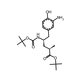 C[C@H](C[C@H](Cc1ccc(O)c(N)c1)NC(=O)OC(C)(C)C)C(=O)OC(C)(C)C